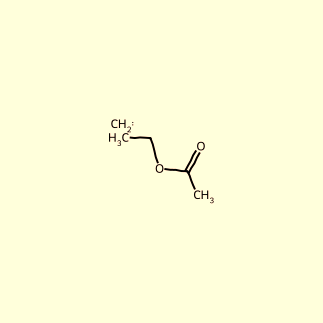 CCOC(C)=O.[CH2]